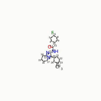 O=C(Cc1ccc(F)cc1)Nc1nc2ccccn2c1-c1cccc(C(F)(F)F)c1